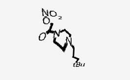 CC(C)(C)CCCN1CCN(C(=O)CO[N+](=O)[O-])CC1